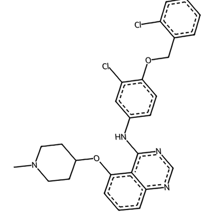 CN1CCC(Oc2cccc3ncnc(Nc4ccc(OCc5ccccc5Cl)c(Cl)c4)c23)CC1